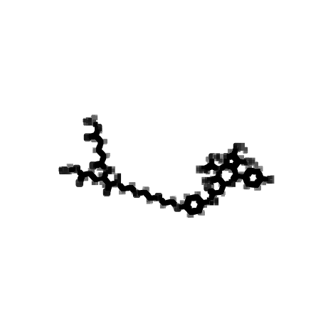 CC(=N)N1C(=N)C(CC(=O)Nc2ccc(OCCOCCOCCNC(=O)[C@@H](CCC(=O)OC(C)(C)C)NC(=O)CCCC(=O)OC(C)(C)C)cc2)N=C(c2ccc(Cl)cc2)c2c1sc(C)c2C